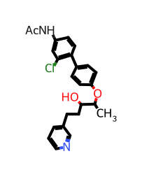 CC(=O)Nc1ccc(-c2ccc(OC(C)C(O)CCc3cccnc3)cc2)c(Cl)c1